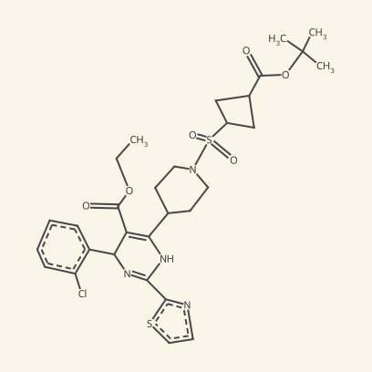 CCOC(=O)C1=C(C2CCN(S(=O)(=O)C3CC(C(=O)OC(C)(C)C)C3)CC2)NC(c2nccs2)=NC1c1ccccc1Cl